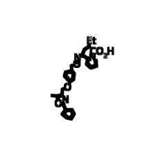 CCC(CC(=NOCc1ccc(OCc2nc(-c3ccccc3)oc2C)cc1)c1ccccn1)C(=O)O